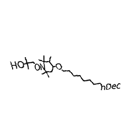 CCCCCCCCCCCCCCCCCCOC1CC(C)(C)N(OCC(C)(C)O)C(C)(C)C1C